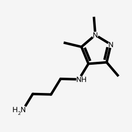 Cc1nn(C)c(C)c1NCCCN